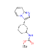 CC(C)(C)OC(=O)NC1CCCC(c2cnc3ccccn23)C1